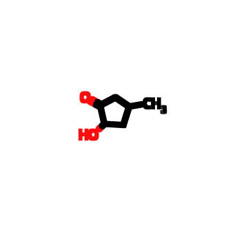 CC1CC(=O)C(O)C1